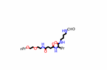 CCCOCCOCCNC(=O)CCC(=O)NC(C(=O)NCCCCNC=O)C(C)C